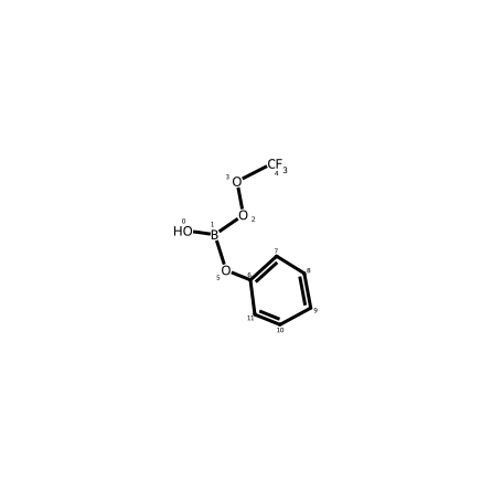 OB(OOC(F)(F)F)Oc1ccccc1